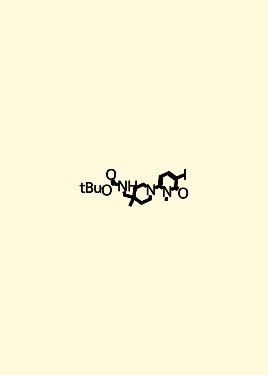 Cn1c(N2CCC(C)(CNC(=O)OC(C)(C)C)CC2)ccc(I)c1=O